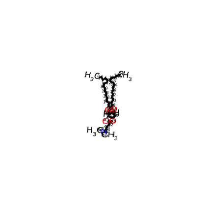 CCCC/C=C\C/C=C\CCCCCCCCC1(CCCCCCCC/C=C\C/C=C\CCCC)O[C@H]2C[C@H](OC(=O)CCCN(C)C)C[C@H]2O1